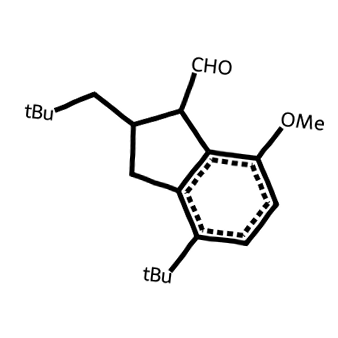 COc1ccc(C(C)(C)C)c2c1C(C=O)C(CC(C)(C)C)C2